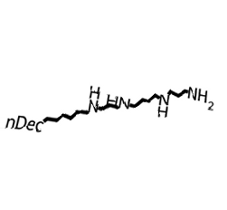 CCCCCCCCCCCCCCCCNCCCNCCCCNCCCN